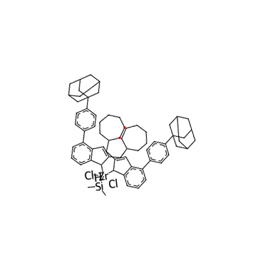 C[SiH](C)[Zr]([Cl])([Cl])([CH]1C(CC2CCCCCC2)=Cc2c(-c3ccc(C45CC6CC(CC(C6)C4)C5)cc3)cccc21)[CH]1C(CC2CCCCCC2)=Cc2c(-c3ccc(C45CC6CC(CC(C6)C4)C5)cc3)cccc21